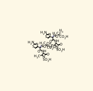 C[C@H]1[C@H](NC(=O)/C(=N\OC(C)(C)C(=O)O)c2csc(N)n2)C(=O)N1S(=O)(=O)O.C[C@H]1[C@H](NC(=O)/C(=N\OC(C)(C)C(=O)O)c2csc(N)n2)C(=O)N1S(=O)(=O)O